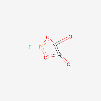 O=c1op(F)oc1=O